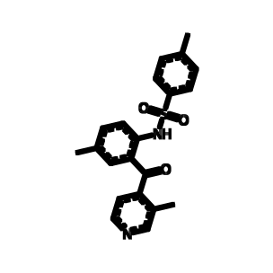 Cc1ccc(S(=O)(=O)Nc2ccc(C)cc2C(=O)c2ccncc2C)cc1